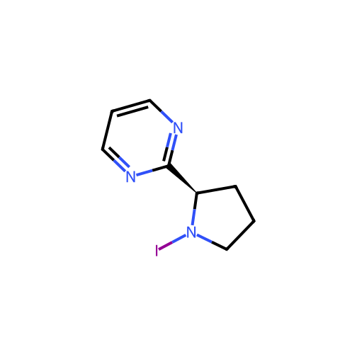 IN1CCC[C@@H]1c1ncccn1